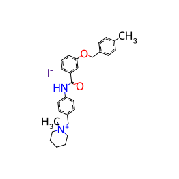 Cc1ccc(COc2cccc(C(=O)Nc3ccc(C[N+]4(C)CCCCC4)cc3)c2)cc1.[I-]